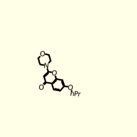 CCCOc1ccc2c(=O)cc(N3CCOCC3)oc2c1